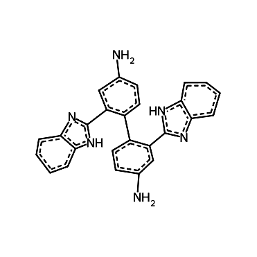 Nc1ccc(-c2ccc(N)cc2-c2nc3ccccc3[nH]2)c(-c2nc3ccccc3[nH]2)c1